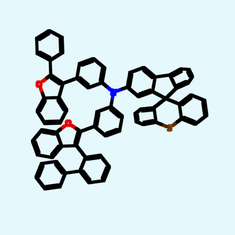 c1ccc(-c2ccccc2-c2c(-c3cccc(N(c4cccc(-c5c(-c6ccccc6)oc6ccccc56)c4)c4ccc5c(c4)C4(c6ccccc6Sc6ccccc64)c4ccccc4-5)c3)oc3ccccc23)cc1